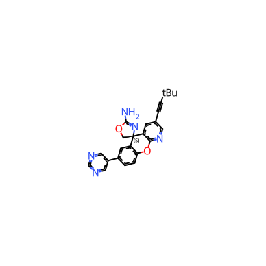 CC(C)(C)C#Cc1cnc2c(c1)[C@]1(COC(N)=N1)c1cc(-c3cncnc3)ccc1O2